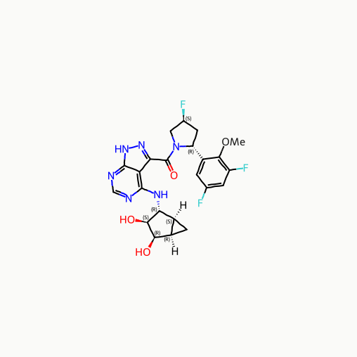 COc1c(F)cc(F)cc1[C@H]1C[C@H](F)CN1C(=O)c1n[nH]c2ncnc(N[C@H]3[C@H](O)[C@H](O)[C@@H]4C[C@@H]43)c12